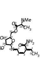 C\C=C(/C=C\C=N\[C@@H]1O[C@H](COC(=O)[C@H](C)NC)[C@@H](O)[C@H]1O)C(N)=O